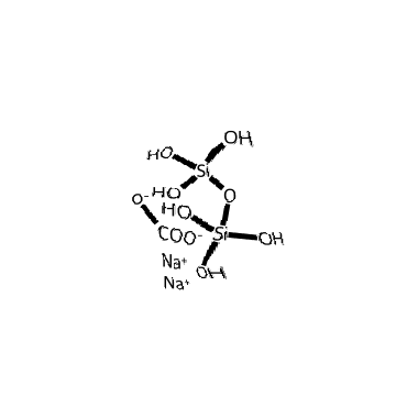 O=C([O-])[O-].O[Si](O)(O)O[Si](O)(O)O.[Na+].[Na+]